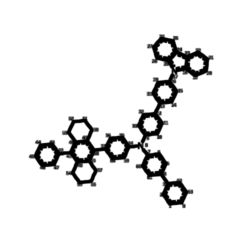 c1ccc(-c2ccc(N(c3ccc(-c4ccc(-n5c6ccccc6c6ccccc65)cc4)cc3)c3ccc(-c4c5c(c(-c6ccccc6)c6c4CCCC6)CCCC5)cc3)cc2)cc1